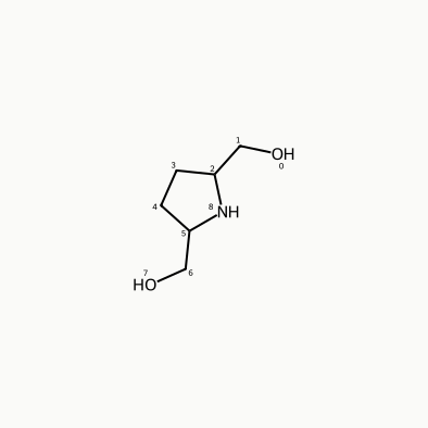 OCC1CCC(CO)N1